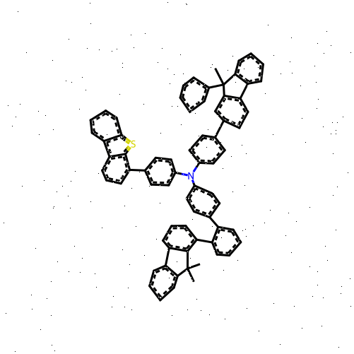 CC1(C)c2ccccc2-c2cccc(-c3ccccc3-c3ccc(N(c4ccc(-c5ccc6c(c5)C(C)(c5ccccc5)c5ccccc5-6)cc4)c4ccc(-c5cccc6c5sc5ccccc56)cc4)cc3)c21